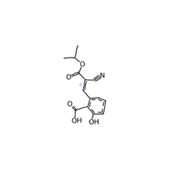 CC(C)OC(=O)/C(C#N)=C/c1cccc(O)c1C(=O)O